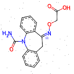 NC(=O)N1c2ccccc2C/C(=N/OCC(=O)O)c2ccccc21